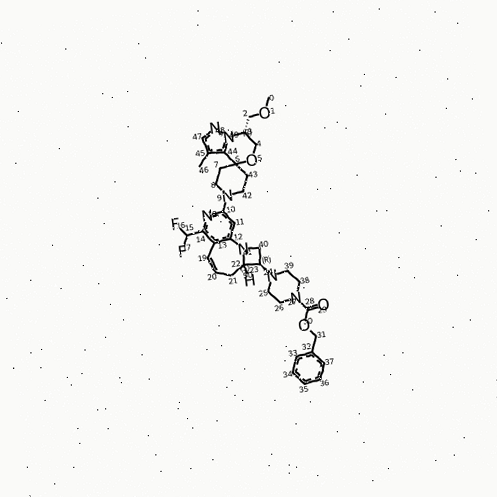 COC[C@@H]1COC2(CCN(c3cc4c(c(C(F)F)n3)C=CC[C@H]3[C@H](N5CCN(C(=O)OCc6ccccc6)CC5)CN43)CC2)c2c(C)cnn21